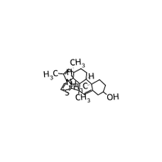 CC1=C[C@@]2(C)CC[C@@H]3[C@H]([C@@H]2C1)C(C)(c1nccs1)C=C1CC(O)CC[C@@]13C